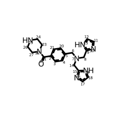 O=C(c1ccc(CN(Cc2ncc[nH]2)Cc2ncc[nH]2)cc1)N1CCNCC1